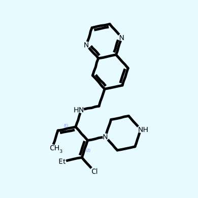 C/C=C(NCc1ccc2nccnc2c1)\C(=C(\Cl)CC)N1CCNCC1